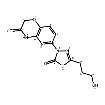 O=C1COc2ccc(-n3nc(CCCO)oc3=O)nc2N1